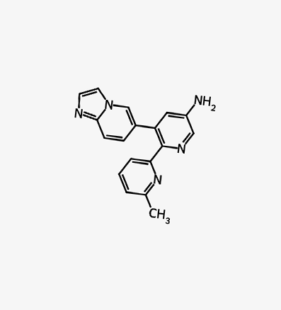 Cc1cccc(-c2ncc(N)cc2-c2ccc3nccn3c2)n1